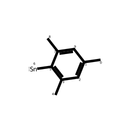 Cc1cc(C)[c]([Sn])c(C)c1